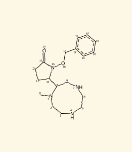 CN1CCNCCNCC1C1CCC(=O)N1OCc1ccccc1